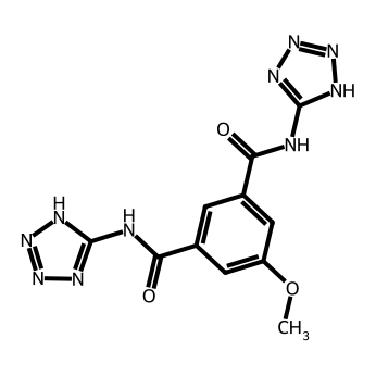 COc1cc(C(=O)Nc2nnn[nH]2)cc(C(=O)Nc2nnn[nH]2)c1